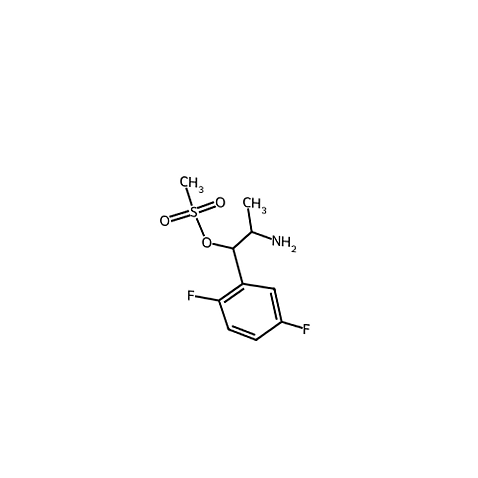 CC(N)C(OS(C)(=O)=O)c1cc(F)ccc1F